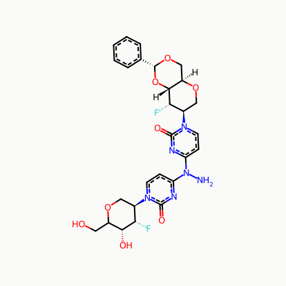 NN(c1ccn([C@@H]2CO[C@@H]3CO[C@@H](c4ccccc4)O[C@H]3[C@H]2F)c(=O)n1)c1ccn([C@@H]2COC(CO)[C@@H](O)[C@H]2F)c(=O)n1